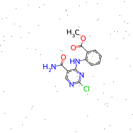 COC(=O)c1ccccc1Nc1nc(Cl)ncc1C(N)=O